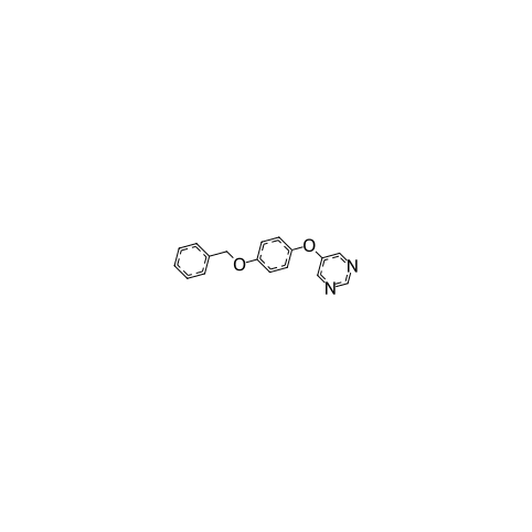 c1ccc(COc2ccc(Oc3cncnc3)cc2)cc1